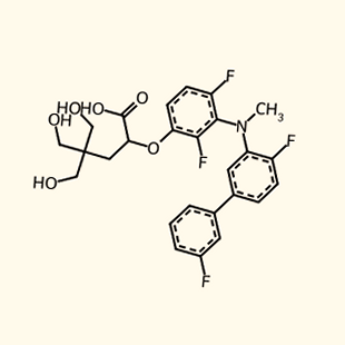 CN(c1cc(-c2cccc(F)c2)ccc1F)c1c(F)ccc(OC(CC(CO)(CO)CO)C(=O)O)c1F